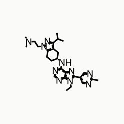 CCn1c(-c2cnc(C)nc2)nc2c(N[C@H]3CCc4c(c(C(C)C)nn4CCN(C)C)C3)ncnc21